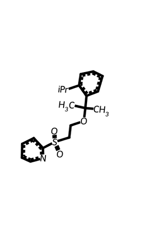 CC(C)c1ccccc1C(C)(C)OCCS(=O)(=O)c1ccccn1